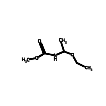 CCOC(C)NC(=O)OC